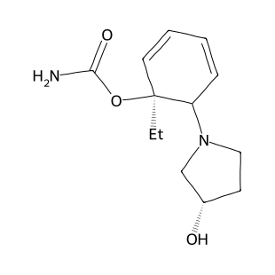 CC[C@]1(OC(N)=O)C=CC=CC1N1CC[C@H](O)C1